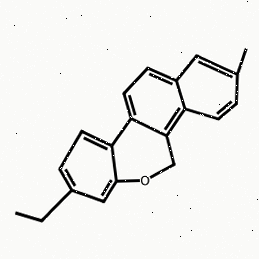 CCc1ccc2c(c1)OCc1c-2ccc2cc(C)ccc12